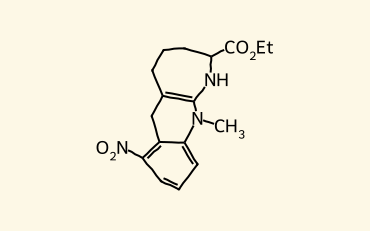 CCOC(=O)C1CCCC2=C(N1)N(C)c1cccc([N+](=O)[O-])c1C2